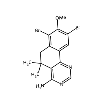 COc1c(Br)cc2c(c1Br)CC(C)(C)c1c(N)ncnc1-2